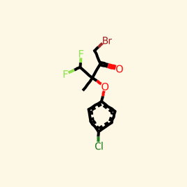 CC(Oc1ccc(Cl)cc1)(C(=O)CBr)C(F)F